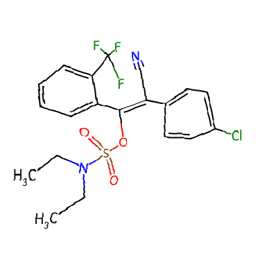 CCN(CC)S(=O)(=O)OC(=C(C#N)c1ccc(Cl)cc1)c1ccccc1C(F)(F)F